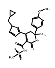 CCCCOc1ccc(C2(C)CC(c3ccn(CC4CC4)n3)=C(C(=O)NS(C)(=O)=O)C(=O)N2)cc1